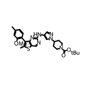 COc1cc(C)ccc1-c1c(C)sc2cnc(Nc3cnn(C4CCN(C(=O)OC(C)(C)C)CC4)c3)nc12